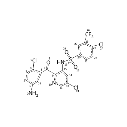 Nc1ccc(Cl)c(C(=O)c2ncc(Cl)cc2NS(=O)(=O)c2ccc(Cl)c(C(F)(F)F)c2)c1